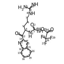 CCCC(=O)NC(CCCNC(=N)N)C(=O)c1nc2ccccc2s1.O=C(O)C(F)(F)F